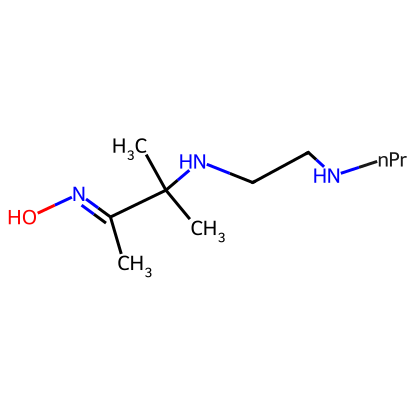 CCCNCCNC(C)(C)C(C)=NO